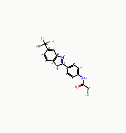 O=C(CCl)Nc1ccc(-c2nc3cc(C(F)(F)F)ccc3[nH]2)cc1